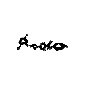 O=C(Nc1ccc(Br)cc1)c1cnc(N2CC(Oc3cc(F)ccc3Br)C2)cn1